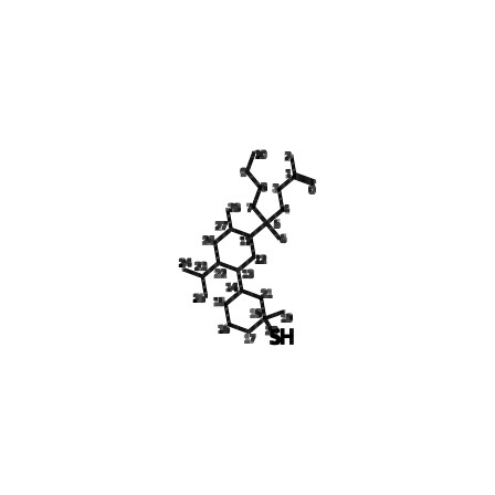 C=C(C)CCC(C)(CCCC)C1CC(C2CCCC(C)(S)C2)C(C(C)C)CC1C